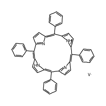 C1=Cc2nc1c(-c1ccccc1)c1ccc([nH]1)c(-c1ccccc1)c1nc(c(-c3ccccc3)c3ccc([nH]3)c2-c2ccccc2)C=C1.[V]